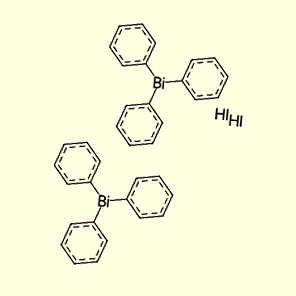 I.I.c1cc[c]([Bi]([c]2ccccc2)[c]2ccccc2)cc1.c1cc[c]([Bi]([c]2ccccc2)[c]2ccccc2)cc1